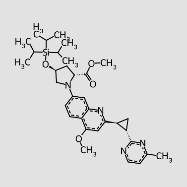 COC(=O)[C@H]1C[C@H](O[Si](C(C)C)(C(C)C)C(C)C)CN1c1ccc2c(OC)cc([C@H]3C[C@@H]3c3nccc(C)n3)nc2c1